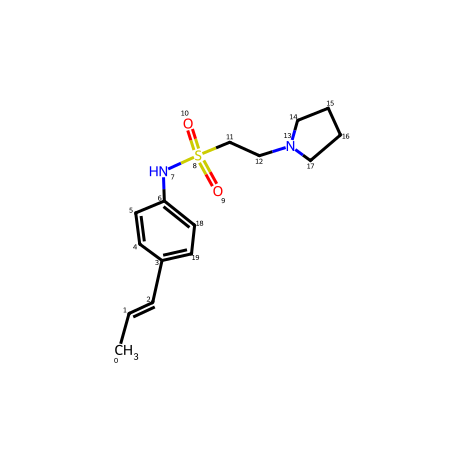 C/C=C/c1ccc(NS(=O)(=O)CCN2CCCC2)cc1